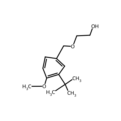 COc1ccc(COCCO)cc1C(C)(C)C